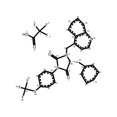 O=C(O)C(F)(F)F.O=C1[C@@H](Cc2ccccc2)N(Cc2ccnc3ccccc23)C(=O)N1c1ccc(SC(F)(F)F)cc1